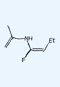 C=C(C)N/C(F)=C\CC